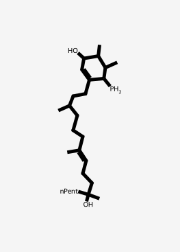 CCCCCC(C)(O)CC/C=C(\C)CCCC(C)CCC1=CC(O)C(C)C(C)C1P